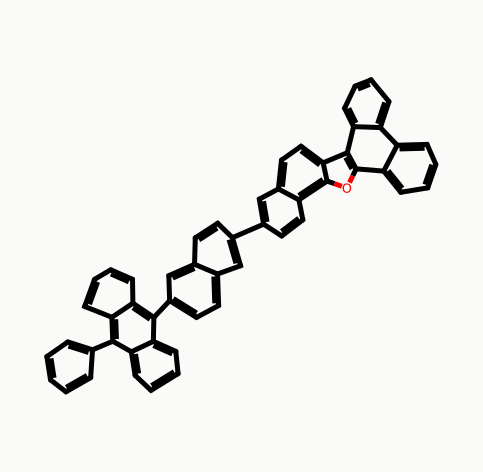 c1ccc(-c2c3ccccc3c(-c3ccc4cc(-c5ccc6c(ccc7c6oc6c8ccccc8c8ccccc8c76)c5)ccc4c3)c3ccccc23)cc1